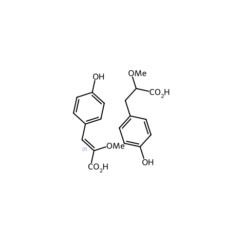 CO/C(=C\c1ccc(O)cc1)C(=O)O.COC(Cc1ccc(O)cc1)C(=O)O